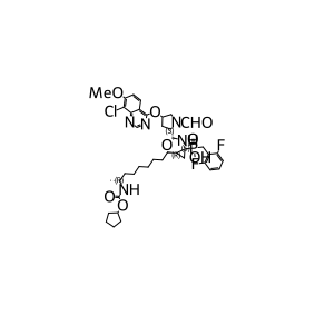 COc1ccc2c(OC3C[C@@H](C(=O)N[C@]4(P(=O)(O)Cc5c(F)cccc5F)C[C@H]4CCCCCCC[C@@H](C)NC(=O)OC4CCCC4)N(C=O)C3)ncnc2c1Cl